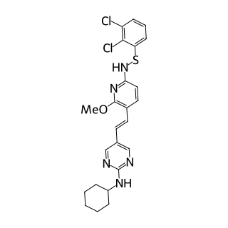 COc1nc(NSc2cccc(Cl)c2Cl)ccc1/C=C/c1cnc(NC2CCCCC2)nc1